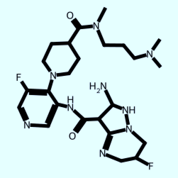 CN(C)CCCN(C)C(=O)C1CCN(c2c(F)cncc2NC(=O)C2C3=NCC(F)CN3NC2N)CC1